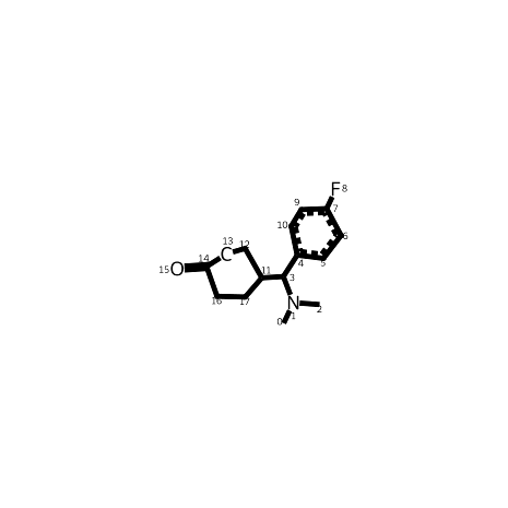 CN(C)C(c1ccc(F)cc1)C1CCC(=O)CC1